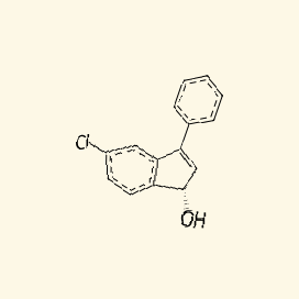 O[C@H]1C=C(c2ccccc2)c2cc(Cl)ccc21